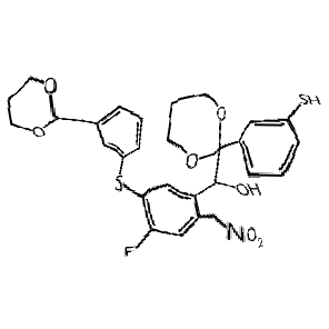 O=[N+]([O-])c1cc(F)c(Sc2cccc(C3OCCCO3)c2)cc1C(O)C1(c2cccc(S)c2)OCCCO1